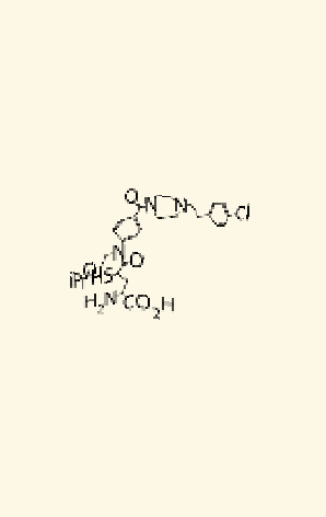 CC(C)OCCN(C(=O)[C@H](S)CC(N)C(=O)O)c1ccc(C(=O)N2CCN(CCc3ccc(Cl)cc3)CC2)cc1